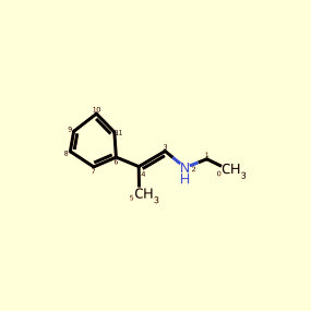 CCNC=C(C)c1ccccc1